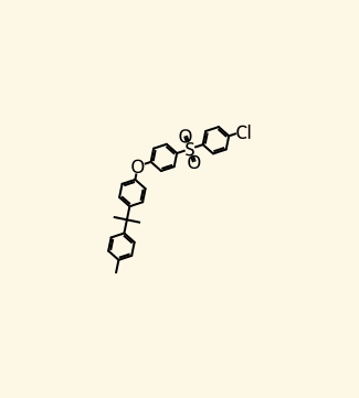 Cc1ccc(C(C)(C)c2ccc(Oc3ccc(S(=O)(=O)c4ccc(Cl)cc4)cc3)cc2)cc1